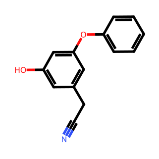 N#CCc1cc(O)cc(Oc2ccccc2)c1